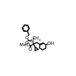 COC(=O)C(CC1=CC(O)CCC1)(C1CC1)N(C)C(=O)OCc1ccccc1